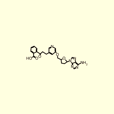 Nc1ncnc2c1ncn2C1CCC(COc2cncc(CCC(=O)c3ccccc3C(=O)O)c2)O1